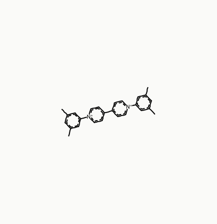 Cc1cc(C)cc(-[n+]2ccc(-c3cc[n+](-c4cc(C)cc(C)c4)cc3)cc2)c1